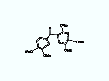 COc1ccc(C(=O)c2cc(OC)c(OC)cc2OC)cc1OC